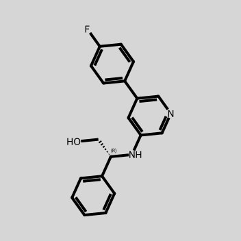 OC[C@H](Nc1cncc(-c2ccc(F)cc2)c1)c1ccccc1